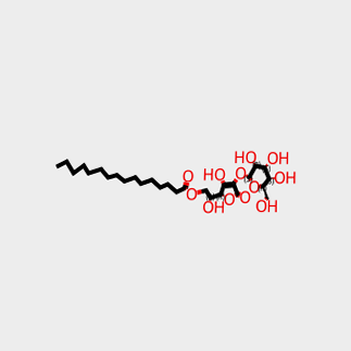 CCCCCCCCCCCCCCCC(=O)OC[C@H](O)[C@H]1OC(=O)C(O[C@@H]2O[C@H](CO)[C@@H](O)[C@H](O)[C@H]2O)=C1O